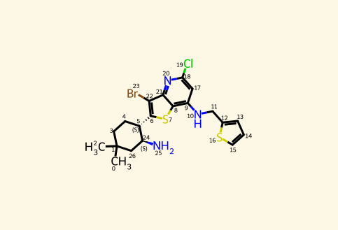 CC1(C)CC[C@H](c2sc3c(NCc4cccs4)cc(Cl)nc3c2Br)[C@@H](N)C1